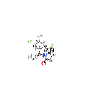 C[C@H]1c2cc(F)c(F)cc2[C@@H](F)[C@H]2CCC(=O)N21